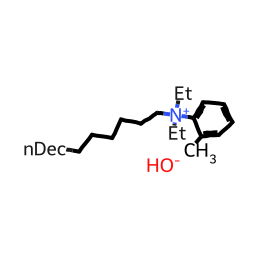 CCCCCCCCCCCCCCCC[N+](CC)(CC)c1ccccc1C.[OH-]